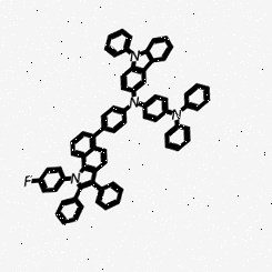 Fc1ccc(-n2c(-c3ccccc3)c(-c3ccccc3)c3ccc4c(-c5ccc(N(c6ccc(N(c7ccccc7)c7ccccc7)cc6)c6ccc7c(c6)C6C=CC=CC6N7c6ccccc6)cc5)cccc4c32)cc1